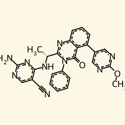 COc1ncc(-c2cccc3nc([C@@H](C)Nc4nc(N)ncc4C#N)n(-c4ccccc4)c(=O)c23)cn1